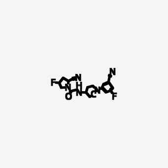 N#Cc1cc(F)cc(N2CCC(NCC(=O)N3CC(F)CC3C#N)CC2)c1